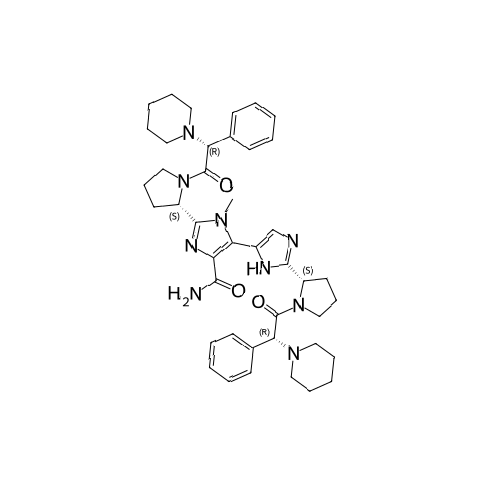 Cn1c([C@@H]2CCCN2C(=O)[C@@H](c2ccccc2)N2CCCCC2)nc(C(N)=O)c1-c1cnc([C@@H]2CCCN2C(=O)[C@@H](c2ccccc2)N2CCCCC2)[nH]1